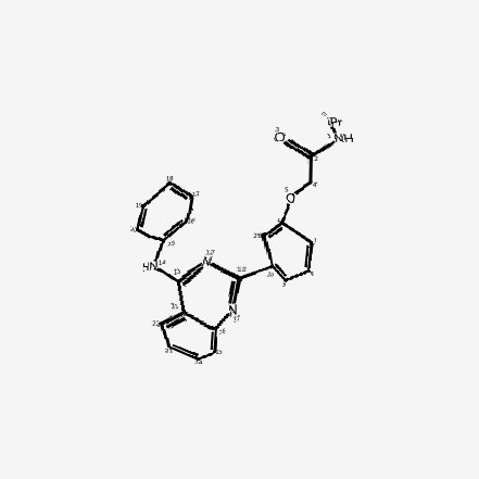 CC(C)NC(=O)COc1cccc(-c2nc(Nc3ccccc3)c3ccccc3n2)c1